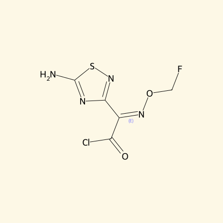 Nc1nc(/C(=N\OCF)C(=O)Cl)ns1